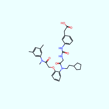 Cc1cc(C)cc(N(C)C(=O)COc2ccccc2N(CCC2CCCC2)C(=O)CNC(=O)Nc2cccc(CC(=O)O)c2)c1